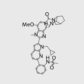 COc1cc(C(=O)N2CC3CCC2C3N)cc2nc(-c3cc4ccc(-c5ccccc5NS(C)(=O)=O)nc4n3CC3CC3)n(C)c12